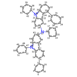 c1ccc(-c2ccc3c4cc(N(c5ccccc5)c5ccc6c(c5)c5c(-c7ccccc7)cccc5n6-c5ccccc5)ccc4n(-c4ccccc4)c3c2)cc1